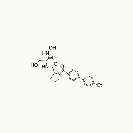 CCc1ccc(-c2ccc(C(=O)N3CCC[C@H]3C(=O)N[C@H](C(=O)NO)[C@@H](C)O)cc2)cc1